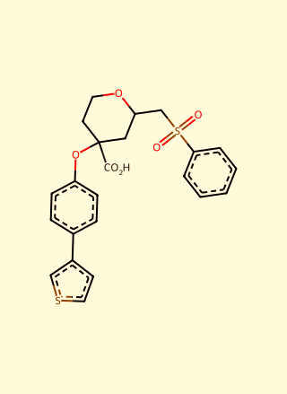 O=C(O)C1(Oc2ccc(-c3ccsc3)cc2)CCOC(CS(=O)(=O)c2ccccc2)C1